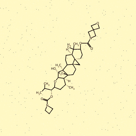 CC(C)[C@@H](OC(=O)N1CCC1)C1C[C@@H](C)[C@H]2C(O1)[C@H](O)[C@@]1(C)C3CC[C@H]4C(C)(C)C(OC(=O)N5CC6(COC6)C5)CC[C@@]45C[C@@]35CC[C@]21C